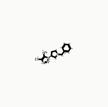 CCCc1c(CC)nnn1[C@H]1CCN(Cc2ccccc2)C1